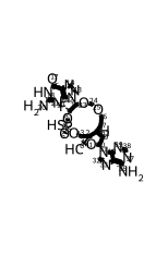 C#C[C@@]12COP(=O)(S)O[C@H](F)[C@H](n3nnc4c(=O)[nH]c(N)nc43)OCOCC[C@H]1C[C@H](n1cnc3c(N)ncnc31)O2